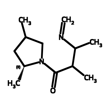 C=NC(C)C(C)C(=O)N1CC(C)C[C@H]1C